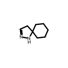 [C]1=NNC2(C1)C[CH]CCC2